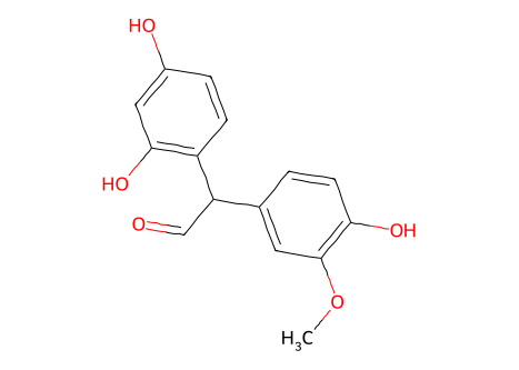 COc1cc(C(C=O)c2ccc(O)cc2O)ccc1O